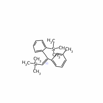 Cc1cccc(/C(=C/[Si](C)(C)C)c2ccccc2[Si](C)(C)C)c1